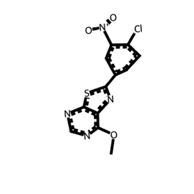 COc1ncnc2sc(-c3ccc(Cl)c([N+](=O)[O-])c3)nc12